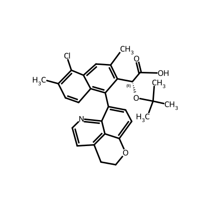 Cc1cc2c(Cl)c(C)ccc2c(-c2ccc3c4c(ccnc24)CCO3)c1[C@@H](OC(C)(C)C)C(=O)O